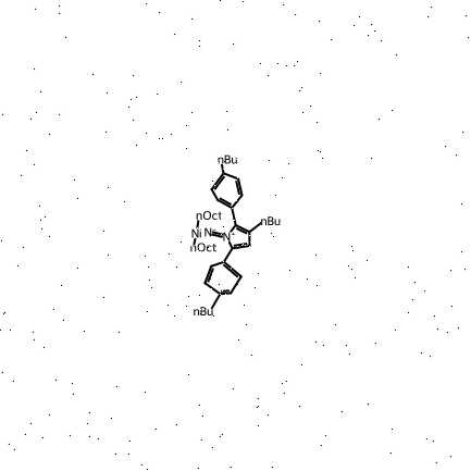 CCCCC1=C(c2ccc(CCCC)cc2)[N+](=[N-])C(c2ccc(CCCC)cc2)=C1.CCCCCCC[CH2][Ni][CH2]CCCCCCC